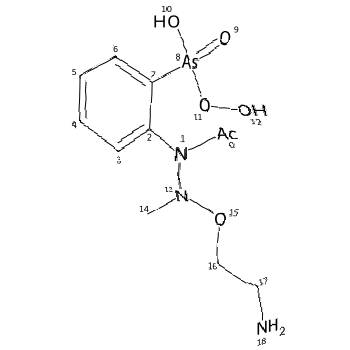 CC(=O)N(c1ccccc1[As](=O)(O)OO)N(C)OCCN